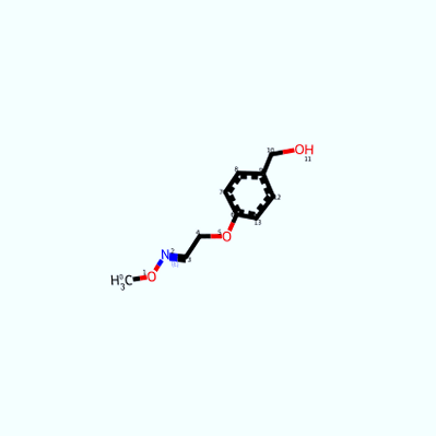 CO/N=C/COc1ccc(CO)cc1